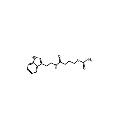 NC(=O)OCCCC(=O)NCCc1c[nH]c2ccccc12